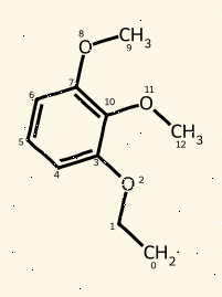 [CH2]COc1cccc(OC)c1OC